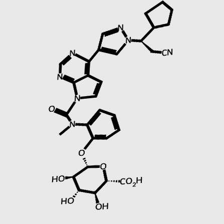 CN(C(=O)n1ccc2c(-c3cnn([C@H](CC#N)C4CCCC4)c3)ncnc21)c1ccccc1O[C@@H]1O[C@H](C(=O)O)[C@@H](O)[C@H](O)[C@H]1O